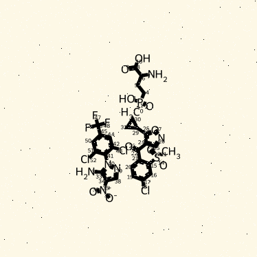 CP(=O)(O)CCC(N)C(=O)O.CS(=O)(=O)c1cc(Cl)ccc1C(=O)c1cnoc1C1CC1.Nc1c([N+](=O)[O-])cnn1-c1c(Cl)cc(C(F)(F)F)cc1Cl